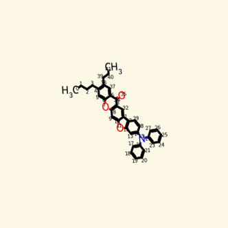 CCCCc1cc2oc3cc4oc5cc(N(c6ccccc6)c6ccccc6)ccc5c4cc3c(=O)c2cc1CCC